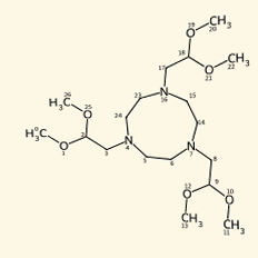 COC(CN1CCN(CC(OC)OC)CCN(CC(OC)OC)CC1)OC